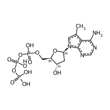 Cc1cn([C@H]2C[C@H](O)[C@@H](COP(=O)(O)OP(=O)(O)OP(=O)(O)O)O2)c2ncnc(N)c12